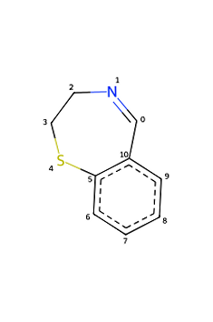 C1=NCCSc2ccccc21